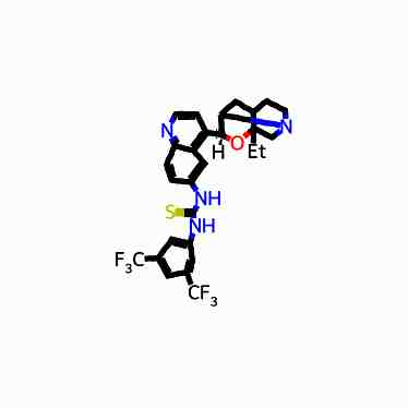 CCC12CN3CCC1CC3[C@H](c1ccnc3ccc(NC(=S)Nc4cc(C(F)(F)F)cc(C(F)(F)F)c4)cc13)O2